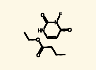 CCCC(=O)OCC.O=c1cc[nH]c(=O)n1F